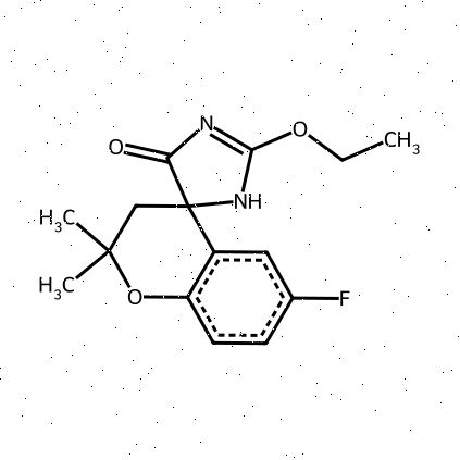 CCOC1=NC(=O)C2(CC(C)(C)Oc3ccc(F)cc32)N1